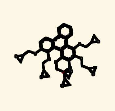 c1ccc2c(c1)c1ccc(OCC3CO3)c(OCC3CO3)c1c1c(OCC3CO3)c(OCC3CO3)c(OCC3CO3)c(OCC3CO3)c21